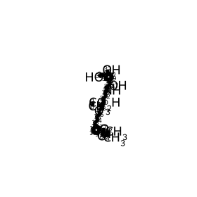 CC(=O)O.CN(C)S(=O)(=O)c1cccc(CCCCOCCCCCCNC[C@H](O)c2ccc(O)c(CO)c2)c1